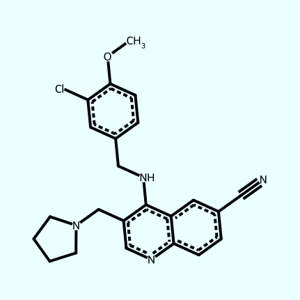 COc1ccc(CNc2c(CN3CCCC3)cnc3ccc(C#N)cc23)cc1Cl